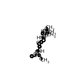 COC[C@H]1C[C@@H](c2ncc(-c3ccc4c(c3)COc3cc5c(cc3-4)CCc3nc([C@@H]4CC[C@H](C)N4C(=O)[C@@H](NC(=O)OC)C(C)C)[nH]c3-5)[nH]2)N(C(=O)[CH]c2ccccc2)C1